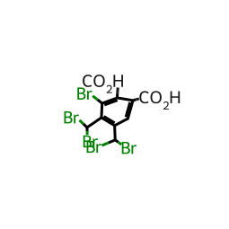 O=C(O)c1cc(C(Br)Br)c(C(Br)Br)c(Br)c1C(=O)O